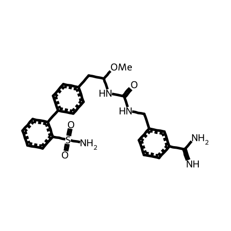 COC(Cc1ccc(-c2ccccc2S(N)(=O)=O)cc1)NC(=O)NCc1cccc(C(=N)N)c1